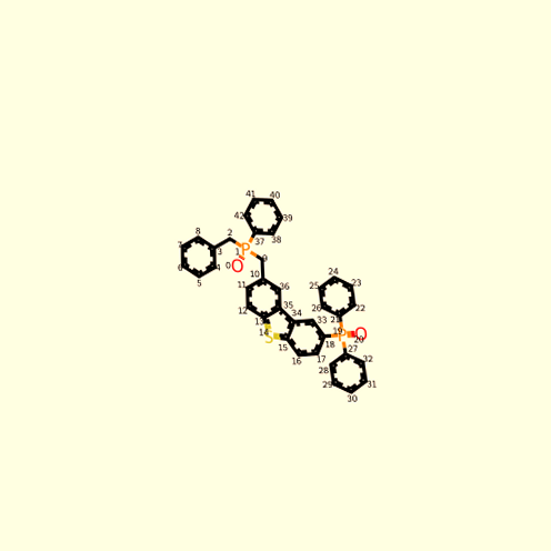 O=P(Cc1ccccc1)(Cc1ccc2sc3ccc(P(=O)(c4ccccc4)c4ccccc4)cc3c2c1)c1ccccc1